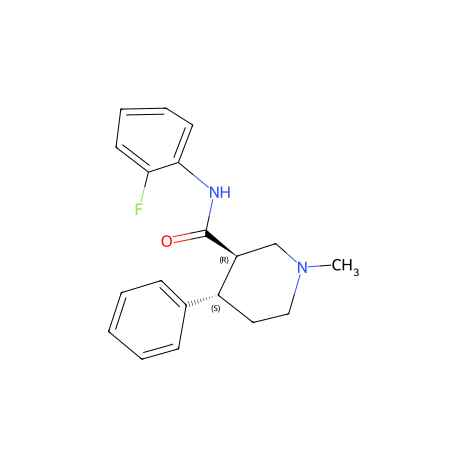 CN1CC[C@H](c2ccccc2)[C@@H](C(=O)Nc2ccccc2F)C1